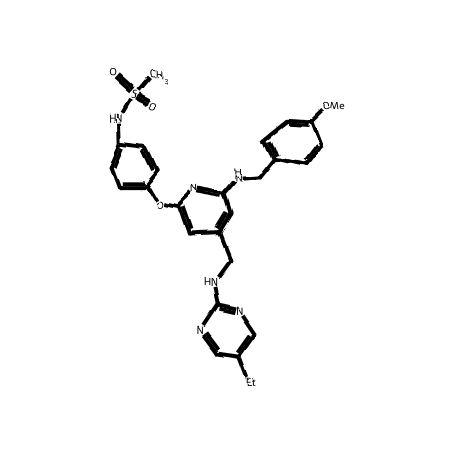 CCc1cnc(NCc2cc(NCc3ccc(OC)cc3)nc(Oc3ccc(NS(C)(=O)=O)cc3)c2)nc1